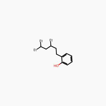 CCC(CC)CC(CC)CCc1ccccc1O